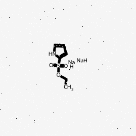 CCOS(=O)(=O)c1ccc[nH]1.[NaH].[NaH]